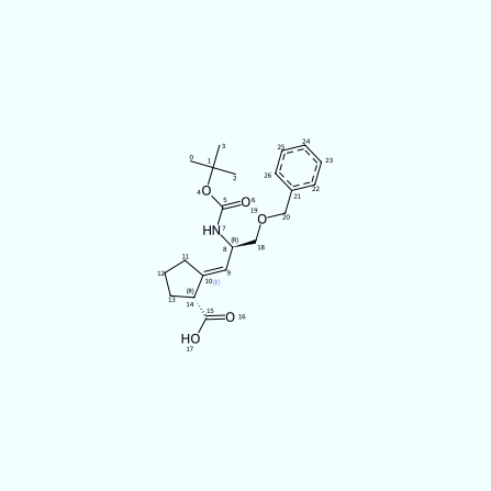 CC(C)(C)OC(=O)N[C@H](/C=C1\CCC[C@H]1C(=O)O)COCc1ccccc1